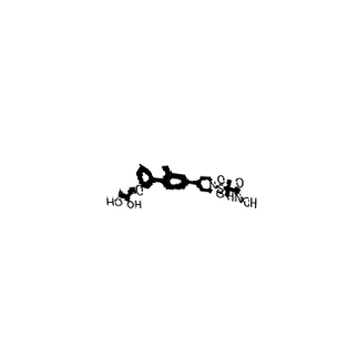 Cc1cc(C2CCN(S(=O)(=O)C(C)(C)C(=O)NO)CC2)ccc1-c1cccc(OC[C@@H](O)CO)c1